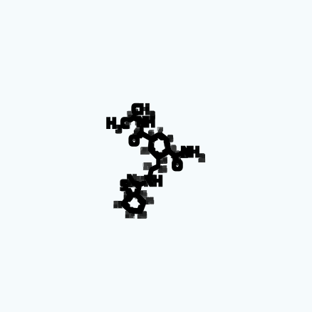 CC(C)NC(=O)c1ccc(C(N)=O)c(CCNc2nsc3ccccc23)c1